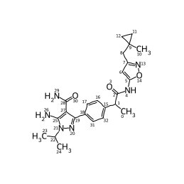 CC(C(=O)Nc1cc(CC2(C)CC2)no1)c1ccc(-c2nn(C(C)C)c(N)c2C(N)=O)cc1